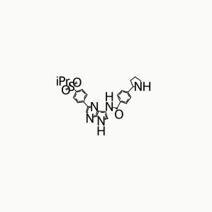 CC(C)S(=O)(=O)c1ccc(-c2cnc3[nH]cc(NC(=O)c4ccc(C5CCCN5)cc4)c3n2)cc1